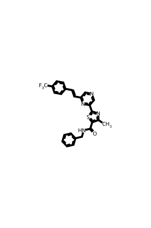 Cc1nc(-c2cncc(C=Cc3ccc(C(F)(F)F)cc3)n2)sc1C(=O)NCc1ccccc1